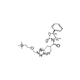 CC(C)CC(Cc1nnn(COCC[Si](C)(C)C)n1)C(=O)N1C(=O)O[C@@H](c2ccccc2)[C@H]1C